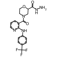 NNC(=O)C1CN(C(=O)c2cccnc2Nc2ccc(C(F)(F)F)cc2)CCO1